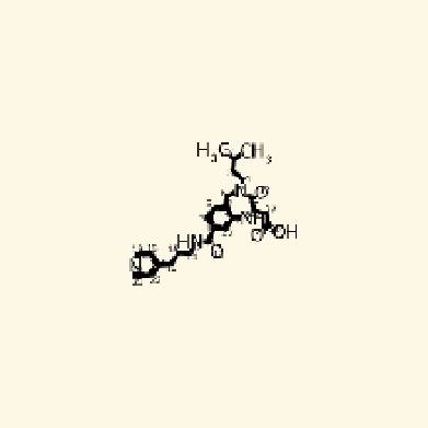 CC(C)CCN1Cc2ccc(C(=O)NCCCc3ccncc3)cc2NC(CC(=O)O)C1=O